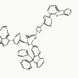 c1ccc(C2(c3ccccc3)c3ccccc3-c3ccc(-c4nc(-c5ccc(-c6ccc(-c7cccc8c7sc7ccccc78)cc6)cc5)nc(-c5ccc(-c6cccc7ccccc67)cc5)n4)cc32)cc1